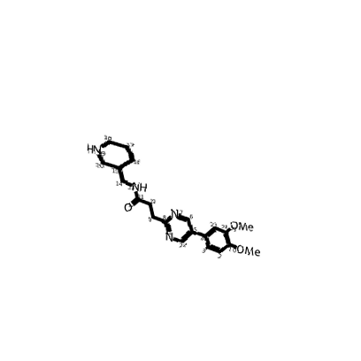 COc1ccc(-c2cnc(CCC(=O)NCC3CCCNC3)nc2)cc1OC